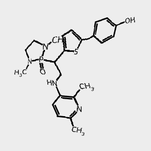 Cc1ccc(NCC(c2ccc(-c3ccc(O)cc3)s2)P2(=O)N(C)CCN2C)c(C)n1